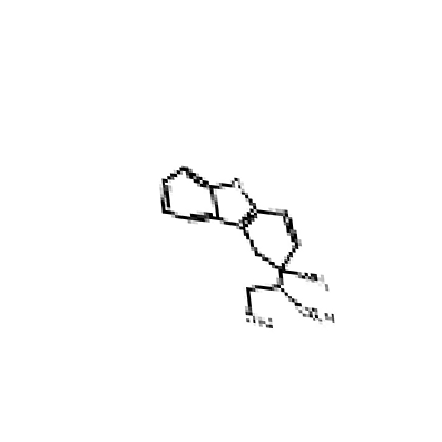 NC1([C@H](CC=O)C(=O)O)C=Cc2oc3ccccc3c2C1